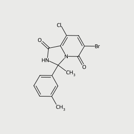 Cc1cccc(C2(C)NC(=O)c3c(Cl)cc(Br)c(=O)n32)c1